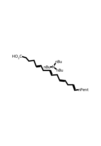 CCCCCC=CCC=CCC=CCC=CCCCC(=O)O.CCCCN(CCCC)CCCC